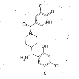 N[C@@H](c1cc(Cl)c(Cl)cc1O)C1CCN(C(=O)c2c[nH]c(=O)c(Cl)c2)CC1